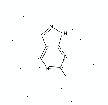 Ic1ncc2cn[nH]c2n1